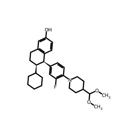 COC(OC)C1CCN(c2ccc([C@@H]3c4ccc(O)cc4CC[C@@H]3C3CCCCC3)cc2F)CC1